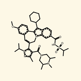 COc1ccc2c(c1)C=C(c1c(C(=O)N3CC(C)N(C)C(C)C3)c(C)nn1C(C)C)Cn1c-2c(C2CCCCC2)c2ccc(C(=O)NS(=O)(=O)C(C)C)cc21